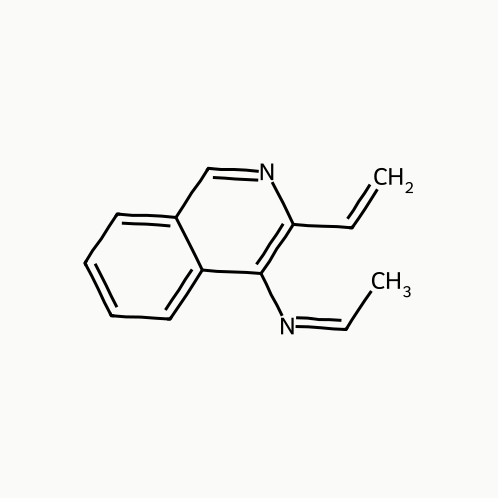 C=Cc1ncc2ccccc2c1/N=C\C